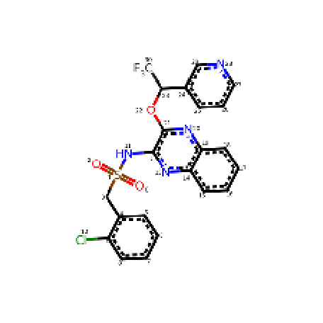 O=S(=O)(Cc1ccccc1Cl)Nc1nc2ccccc2nc1OC(c1cccnc1)C(F)(F)F